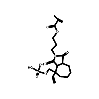 C=CC1(COP(=O)(O)O)CCCCC2C(=O)N(CCCOC(=O)C(=C)C)C(=O)C21